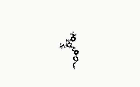 N#CCCN1CCN(c2cccc(CNc3nc(Nc4cccc(C(F)(F)F)c4)nc(OCC(F)(F)F)n3)c2)CC1